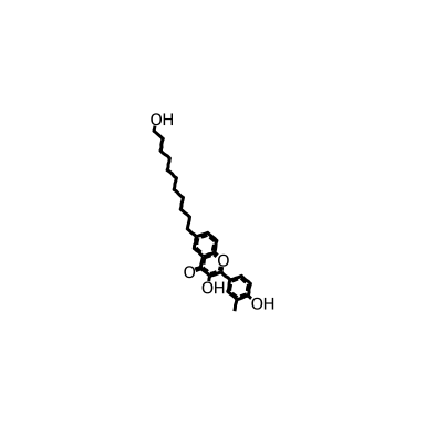 Cc1cc(-c2oc3ccc(CCCCCCCCCCCO)cc3c(=O)c2O)ccc1O